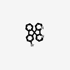 Brc1ccc2c(c1)C1(c3ccccc3-2)c2cccnc2-c2ncccc21